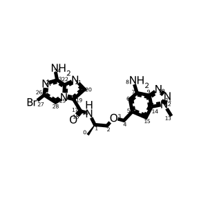 C[C@H](COCc1cc(N)c2nnn(C)c2c1)NC(=O)c1cnc2c(N)nc(Br)cn12